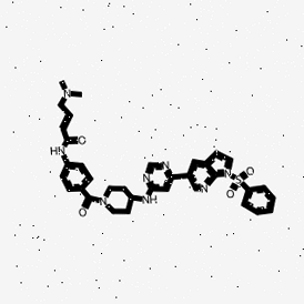 CN(C)CC=CC(=O)Nc1ccc(C(=O)N2CCC(Nc3cc(-c4cnc5c(ccn5S(=O)(=O)c5ccccc5)c4)ncn3)CC2)cc1